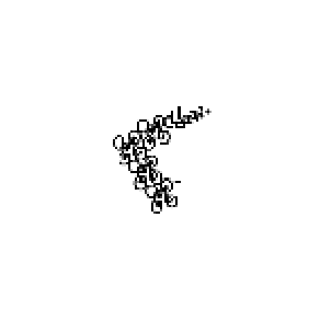 [Ca+2].[La+3].[La+3].[O]=[Cr](=[O])([O-])[O-].[O]=[Cr](=[O])([O-])[O-].[O]=[Cr](=[O])([O-])[O-].[O]=[Cr](=[O])([O-])[O-]